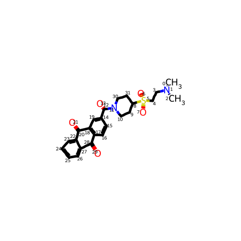 CN(C)CCS(=O)(=O)C1CCN(C(=O)c2ccc3c(c2)C(=O)c2ccccc2C3=O)CC1